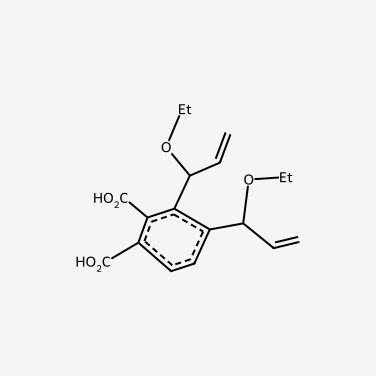 C=CC(OCC)c1ccc(C(=O)O)c(C(=O)O)c1C(C=C)OCC